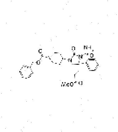 COC(=O)CCC1(c2ccccc2)CN(C2CCN(C(=O)OCc3ccccc3)CC2)C(=O)N1C(N)=O